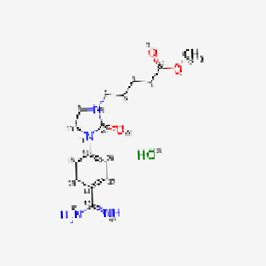 COC(=O)CCCCN1CCN(c2ccc(C(=N)N)cc2)C1=O.Cl